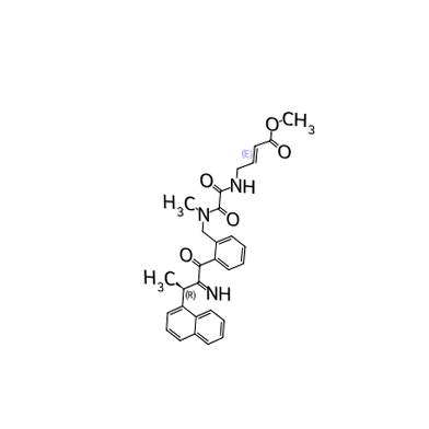 COC(=O)/C=C/CNC(=O)C(=O)N(C)Cc1ccccc1C(=O)C(=N)[C@H](C)c1cccc2ccccc12